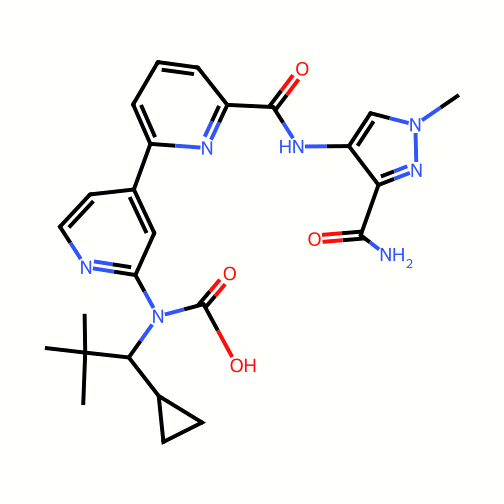 Cn1cc(NC(=O)c2cccc(-c3ccnc(N(C(=O)O)C(C4CC4)C(C)(C)C)c3)n2)c(C(N)=O)n1